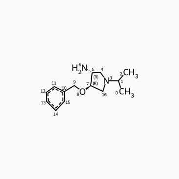 CC(C)N1C[C@@H](N)[C@H](OCc2ccccc2)C1